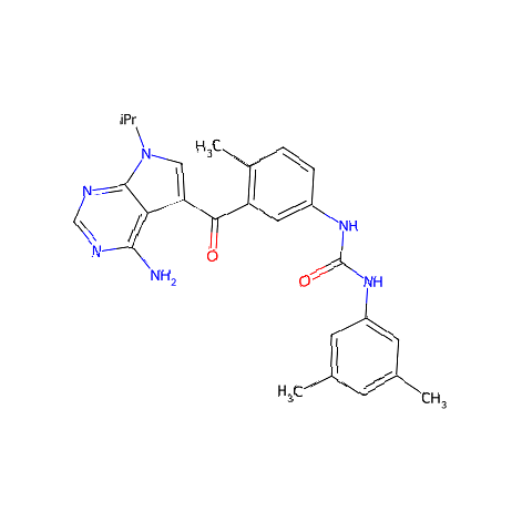 Cc1cc(C)cc(NC(=O)Nc2ccc(C)c(C(=O)c3cn(C(C)C)c4ncnc(N)c34)c2)c1